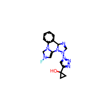 OC1(c2cn(N3C=NC4c5ccccc5N5CN(F)C=C5N43)nn2)CC1